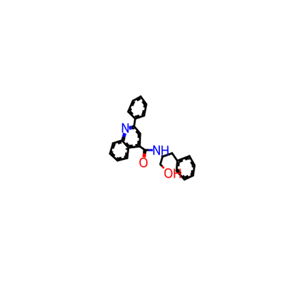 O=C(NC(CO)Cc1ccccc1)c1cc(-c2ccccc2)nc2ccccc12